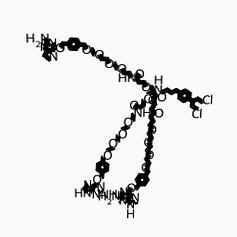 Nc1nc2c(c(OCc3ccc(COCCOCCOCCOCCNC(=O)CCOCC(COCCC(=O)CCCOCCOCCOCCOCc4ccc(COc5nc(N)nc6[nH]cnc56)cc4)(COCCC(=O)NCCOCCOCCOCCOCc4ccc(COc5nc(N)nc6[nH]cnc56)cc4)NC(=O)CCCc4ccc(C(CCCl)CCCl)cc4)cc3)n1)N=CC2